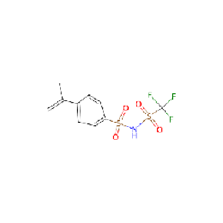 C=C(C)c1ccc(S(=O)(=O)NS(=O)(=O)C(F)(F)F)cc1